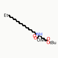 CCC=CCC=CCC=CCC=CCC=CCCCC(=O)N[C@@H](CCCCC(=O)OC(C)(C)C)C(=O)OC